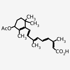 CC(=O)OC1CCC(C)(C)C(C=CC(C)=CC=CC(C)=CC(=O)O)=C1C